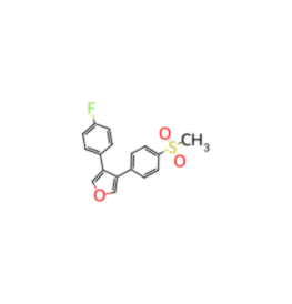 CS(=O)(=O)c1ccc(-c2cocc2-c2ccc(F)cc2)cc1